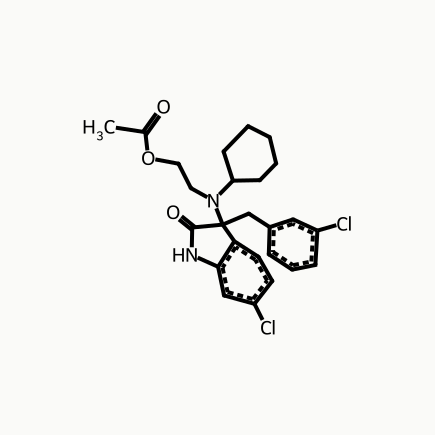 CC(=O)OCCN(C1CCCCC1)C1(Cc2cccc(Cl)c2)C(=O)Nc2cc(Cl)ccc21